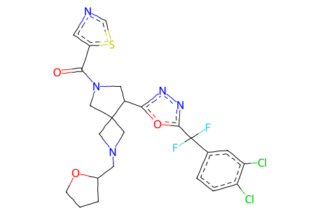 O=C(c1cncs1)N1CC(c2nnc(C(F)(F)c3ccc(Cl)c(Cl)c3)o2)C2(CN(CC3CCCO3)C2)C1